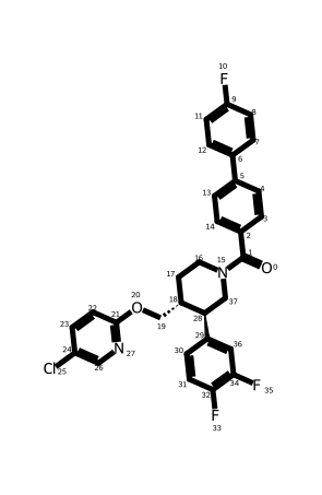 O=C(c1ccc(-c2ccc(F)cc2)cc1)N1CC[C@@H](COc2ccc(Cl)cn2)[C@H](c2ccc(F)c(F)c2)C1